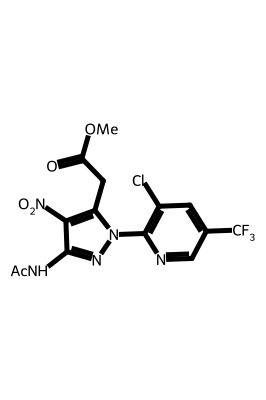 COC(=O)Cc1c([N+](=O)[O-])c(NC(C)=O)nn1-c1ncc(C(F)(F)F)cc1Cl